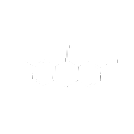 CB1c2cc(C)ccc2Oc2ccc(C)cc21